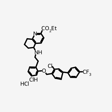 CCOC(=O)c1ccc2c(n1)CCCC2NCCc1ccccc1OCc1ccc(-c2ccc(C(F)(F)F)cc2)cc1Cl.Cl.Cl